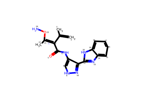 C=C(C)/C(C(=O)Nc1c[nH]nc1-c1nc2ccccc2[nH]1)=C(/C)ON